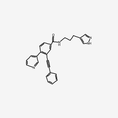 O=C(NCCCc1cn[nH]c1)c1ccc(-c2cccnc2)c(C#Cc2ccccc2)c1